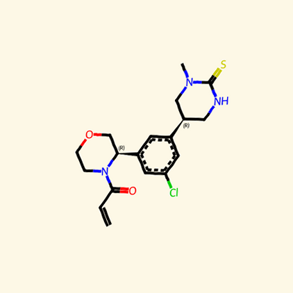 C=CC(=O)N1CCOC[C@H]1c1cc(Cl)cc([C@@H]2CNC(=S)N(C)C2)c1